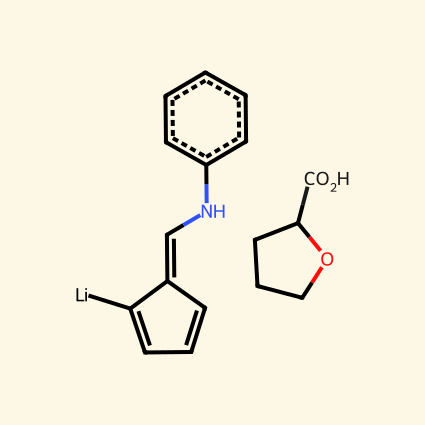 O=C(O)C1CCCO1.[Li][C]1=CC=CC1=CNc1ccccc1